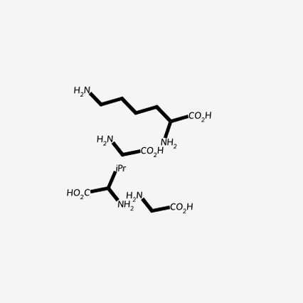 CC(C)C(N)C(=O)O.NCC(=O)O.NCC(=O)O.NCCCCC(N)C(=O)O